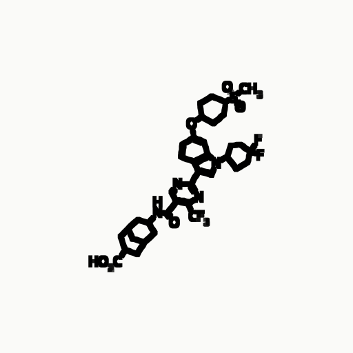 CS(=O)(=O)C1CCC(Oc2ccc3c(-c4ncc(C(=O)NC5CC6CC(C5)CC(C(=O)O)C6)c(C(F)(F)F)n4)cn(C4CCC(F)(F)CC4)c3c2)CC1